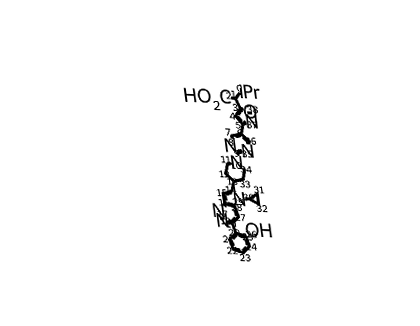 CC(C)C(C(=O)O)c1cc(-c2cnc(N3CCC(c4cc5nnc(-c6ccccc6O)cc5n4C4CC4)CC3)nc2)no1